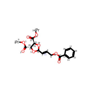 CC(C)OC(=O)[C@H]1OC(/C=C/COC(=O)c2ccccc2)O[C@@H]1C(=O)OC(C)C